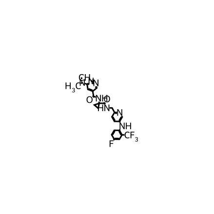 CN(C)c1cc(C(=O)NC2(C(=O)NCc3ccc(Nc4ccc(F)cc4C(F)(F)F)cn3)CC2)cnn1